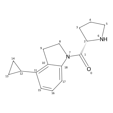 O=C([C@@H]1CCCN1)N1CCc2c(C3CC3)cccc21